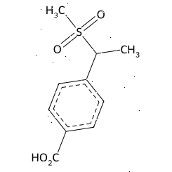 CC(c1ccc(C(=O)O)cc1)S(C)(=O)=O